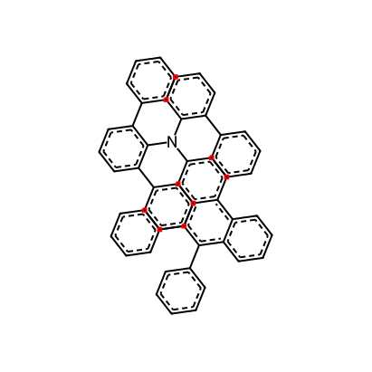 c1ccc(-c2ccccc2N(c2ccc3c(c2)c(-c2ccccc2)c(-c2ccccc2)c2ccccc23)c2c(-c3ccccc3)cccc2-c2ccccc2)cc1